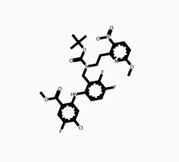 COC(=O)c1cc(F)c(Cl)cc1Nc1ccc(F)c(F)c1CN(CCc1nc(OC)ccc1[N+](=O)[O-])C(=O)OC(C)(C)C